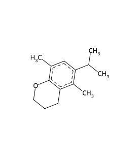 Cc1cc(C(C)C)c(C)c2c1OCCC2